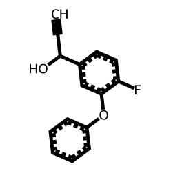 C#CC(O)c1ccc(F)c(Oc2ccccc2)c1